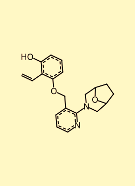 C=Cc1c(O)cccc1OCc1cccnc1N1CC2CCC(C1)O2